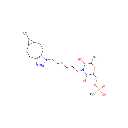 BC1OC(COP(C)(=O)O)C(O)N(OCCOCCn2nnc3c2CCC2C(C)C2CC3)C1O